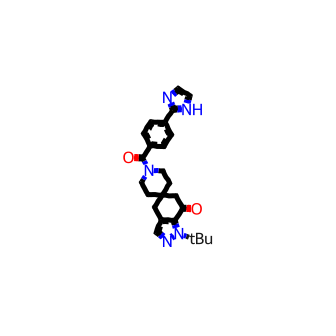 CC(C)(C)n1ncc2c1C(=O)CC1(CCN(C(=O)c3ccc(-c4ncc[nH]4)cc3)CC1)C2